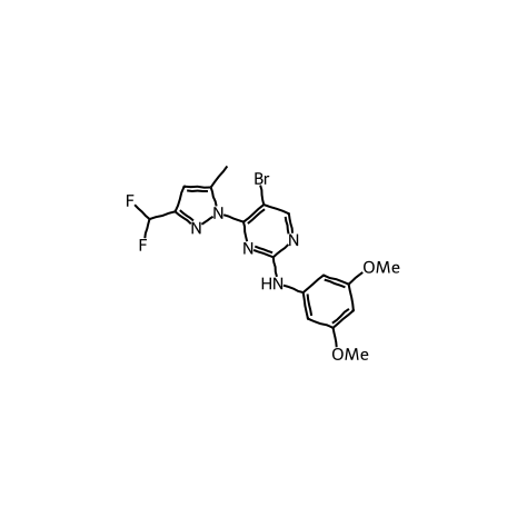 COc1cc(Nc2ncc(Br)c(-n3nc(C(F)F)cc3C)n2)cc(OC)c1